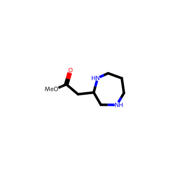 COC(=O)CC1CNCCCN1